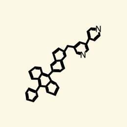 c1ccc(-c2c3ccccc3c(-c3ccc4cc(Cc5cncc(-c6ccncc6)c5)ccc4c3)c3ccccc23)cc1